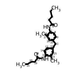 CCCCC(=O)Nc1ccc(Cc2ccc(NC(=O)CCCC)c(C)c2)cc1C